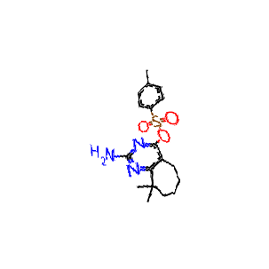 Cc1ccc(S(=O)(=O)Oc2nc(N)nc3c2CCCCC3(C)C)cc1